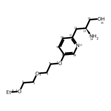 CCOCCOCCOc1ccc(C[C@H](N)CO)nc1